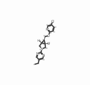 CCc1cnc(N2C[C@@H]3[C@@H](COc4ccc(Cl)cn4)[C@@H]3C2)nc1